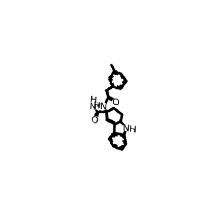 Cc1cccc(CC(=O)NC2(C(N)=O)C=C3c4ccccc4NC3CC2)c1